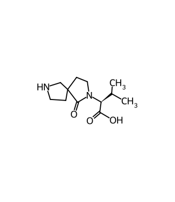 CC(C)[C@@H](C(=O)O)N1CCC2(CCNC2)C1=O